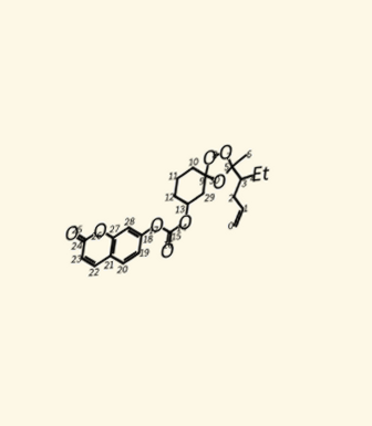 C=CCC(CC)C1(C)OOC2(CCCC(OC(=O)Oc3ccc4ccc(=O)oc4c3)C2)O1